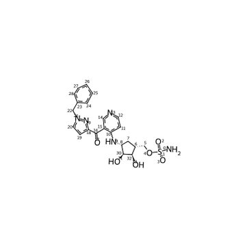 NS(=O)(=O)OC[C@H]1C[C@@H](Nc2ccncc2C(=O)c2ccn(Cc3ccccc3)n2)[C@H](O)[C@@H]1O